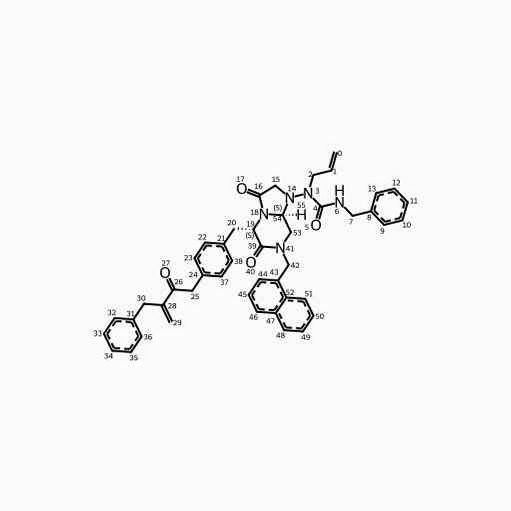 C=CCN(C(=O)NCc1ccccc1)N1CC(=O)N2[C@@H](Cc3ccc(CC(=O)C(=C)Cc4ccccc4)cc3)C(=O)N(Cc3cccc4ccccc34)C[C@@H]21